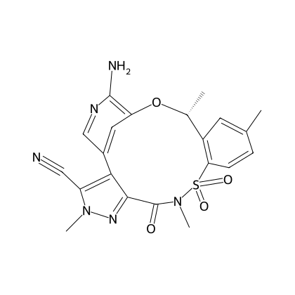 Cc1ccc2c(c1)[C@@H](C)Oc1cc(cnc1N)-c1c(nn(C)c1C#N)C(=O)N(C)S2(=O)=O